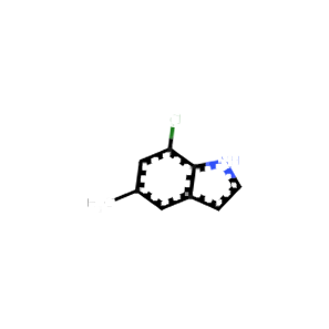 Cc1cc(Cl)c2[nH]ccc2c1